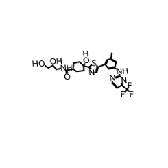 Cc1cc(Nc2nccc(C(F)(F)F)n2)cc(-c2cnc(C3(O)CCC(C(=O)NCC(O)CO)CC3)s2)c1